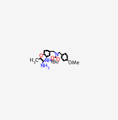 COc1ccc(CN(Cc2ccc3c(c2)NC(N)=C(C)O3)C(=O)OC(C)(C)C)cc1